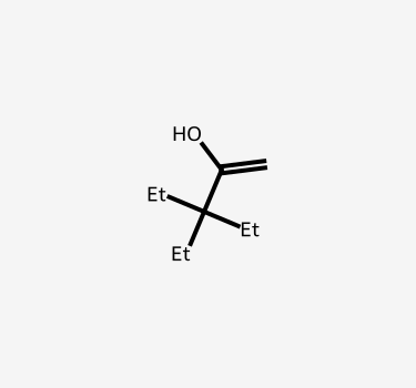 C=C(O)C(CC)(CC)CC